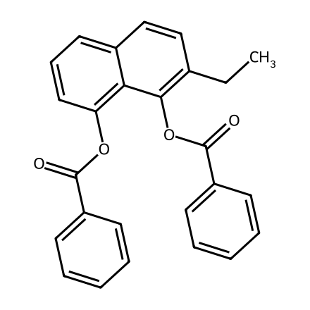 CCc1ccc2cccc(OC(=O)c3ccccc3)c2c1OC(=O)c1ccccc1